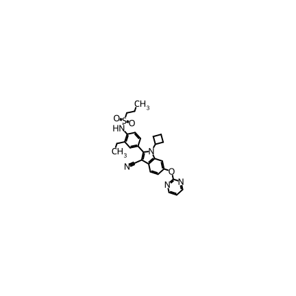 CCCS(=O)(=O)Nc1ccc(-c2c(C#N)c3ccc(Oc4ncccn4)cc3n2C2CCC2)cc1CC